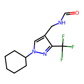 O=CNCc1cn(C2CCCCC2)nc1C(F)(F)F